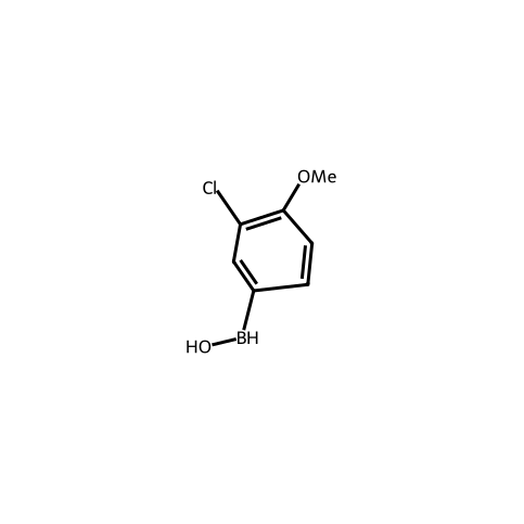 COc1ccc(BO)cc1Cl